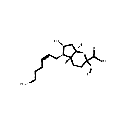 CCCCC(F)C1(OCC)CC[C@@H]2[C@@H](C/C=C\CCCC(=O)OCC)[C@@H](O)C[C@H]2O1